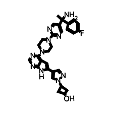 CC(N)(c1ccc(F)cc1)c1cnc(N2CCN(c3ncnc4[nH]c(-c5cnn(C6CC(O)C6)c5)cc34)CC2)nc1